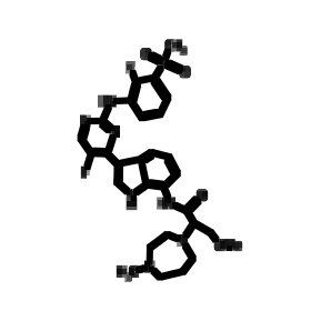 COCC(C(=O)Nc1cccc2c(-c3nc(Nc4cccc(S(C)(=O)=O)c4F)ncc3F)c[nH]c12)N1CCCN(C)CC1